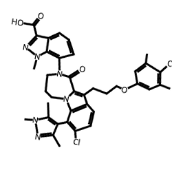 Cc1cc(OCCCc2c3n(c4c(-c5c(C)nn(C)c5C)c(Cl)ccc24)CCCN(c2cccc4c(C(=O)O)nn(C)c24)C3=O)cc(C)c1Cl